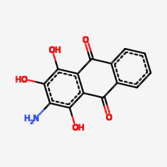 Nc1c(O)c(O)c2c(c1O)C(=O)c1ccccc1C2=O